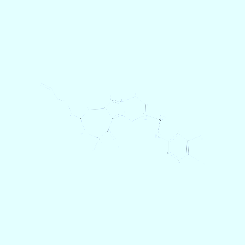 C=CCOCC1Cn2nc3c(c2C(=O)N(C)O1)CN(C(=O)Nc1ccc(F)c(Cl)c1)CC3